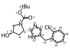 CC(C)(C)OC(=O)N1C[C@H](O)C[C@H]1c1ncc(Cc2ccccc2Cl)[nH]1